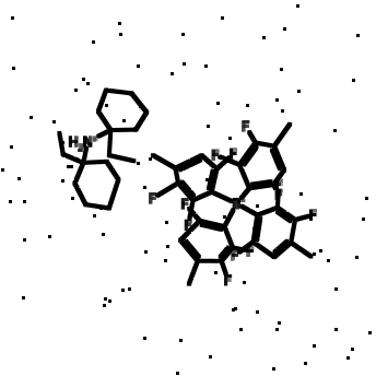 CCC1([NH2+]C2(CC)CCCCC2)CCCCC1.Cc1cc(F)c([B-](c2c(F)cc(C)c(F)c2F)(c2c(F)cc(C)c(F)c2F)c2c(F)cc(C)c(F)c2F)c(F)c1F